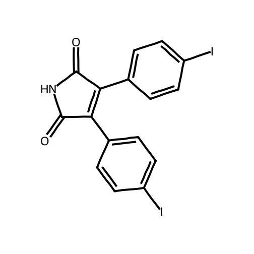 O=C1NC(=O)C(c2ccc(I)cc2)=C1c1ccc(I)cc1